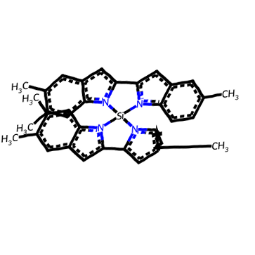 Cc1ccc2c(c1)cc1n2[Si]2(n3c(cc4cc(C)ccc43)-c3cc4cc(C)c(C)cc4n32)n2c-1cc1cc(C)c(C)cc12